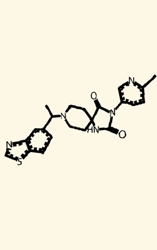 Cc1ccc(N2C(=O)NC3(CCN(C(C)c4ccc5scnc5c4)CC3)C2=O)cn1